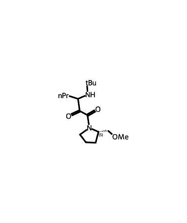 CCCC(NC(C)(C)C)C(=O)C(=O)N1CCC[C@H]1COC